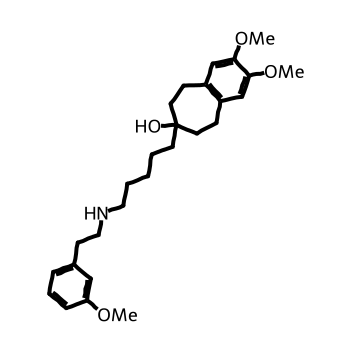 COc1cccc(CCNCCCCCC2(O)CCc3cc(OC)c(OC)cc3CC2)c1